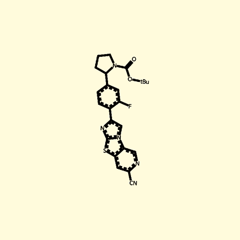 CC(C)(C)OC(=O)N1CCCC1c1ccc(-c2cn3c(n2)sc2cc(C#N)ncc23)c(F)c1